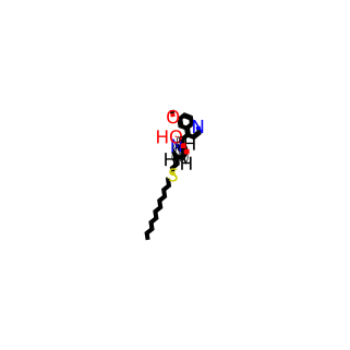 CCCCCCCCCCCCSCC[C@H]1C[N@]2CC[C@H]1C[C@H]2[C@H](O)c1ccnc2ccc(OC)cc12